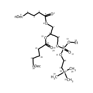 CCCCCCCCCCCCCC(=O)OCC(COP(=O)(OCC)OCC[N+](C)(C)C)OC(=O)CCCCCCCCCCCCC